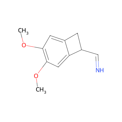 COc1cc2c(cc1OC)C(C=N)C2